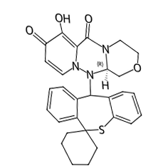 O=C1c2c(O)c(=O)ccn2N(C2c3ccccc3SC3(CCCCC3)c3ccccc32)[C@@H]2COCCN12